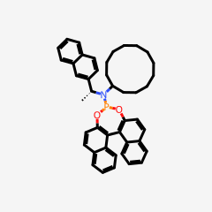 C[C@H](c1ccc2ccccc2c1)N(C1CCCCCCCCCCC1)p1oc2ccc3ccccc3c2c2c(ccc3ccccc32)o1